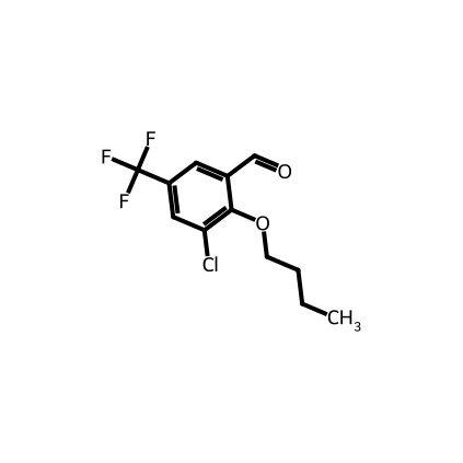 CCCCOc1c(Cl)cc(C(F)(F)F)cc1C=O